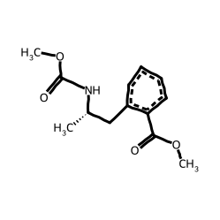 COC(=O)N[C@@H](C)Cc1ccccc1C(=O)OC